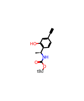 C#Cc1ccc([C@H](C)NC(=O)OC(C)(C)C)c(O)c1